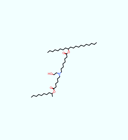 CCCCCCCCCCCC(CCCCCCCC)OC(=O)CCCCCCCN(CCO)CCCCCC(=O)OC(C)CCCCCCCC